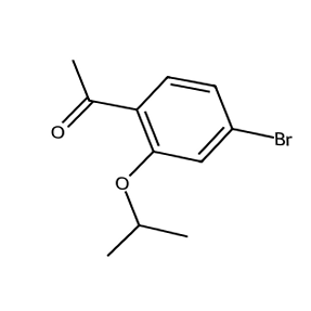 CC(=O)c1ccc(Br)cc1OC(C)C